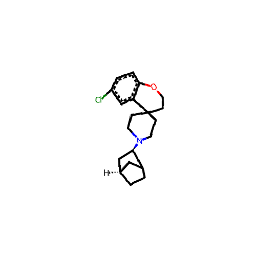 Clc1ccc2c(c1)C1(CCO2)CCN([C@@H]2C[C@@H]3CCC2C3)CC1